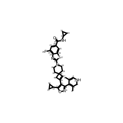 CC1=CNCC(C)=C1c1noc(C2CC2)c1C1=CC2(CCN(c3nc4c(F)cc(C(=O)NC5CC5)cc4s3)CC2)C1